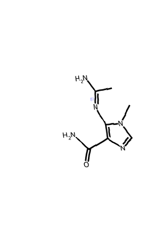 C/C(N)=N\c1c(C(N)=O)ncn1C